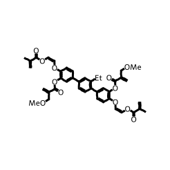 C=C(C)C(=O)O/C=C\Oc1ccc(-c2ccc(-c3ccc(O/C=C\OC(=O)C(=C)C)c(OC(=O)C(=C)COC)c3)c(CC)c2)cc1OC(=O)C(=C)COC